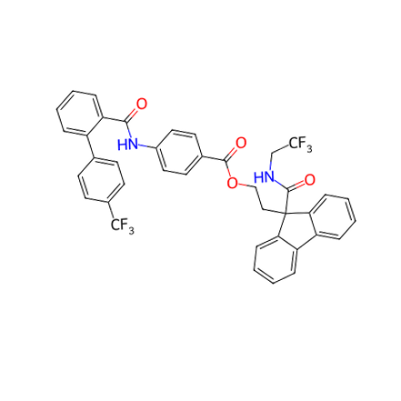 O=C(OCCC1(C(=O)NCC(F)(F)F)c2ccccc2-c2ccccc21)c1ccc(NC(=O)c2ccccc2-c2ccc(C(F)(F)F)cc2)cc1